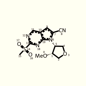 CO[C@H]1COC[C@H]1n1c(C#N)cc2cnc(S(C)(=O)=O)nc21